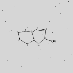 OC1C=CC2CCCCC2C1